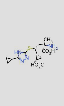 C[C@@](N)(C[C@@H](Sc1nnc(C2CC2)[nH]1)[C@@H]1C[C@H]1C(=O)O)C(=O)O